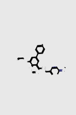 C=C(/C=C\C(C)=N/C)CNc1ncnc2c(OCC(=O)O)cc(-c3ccc(F)cc3)cc12